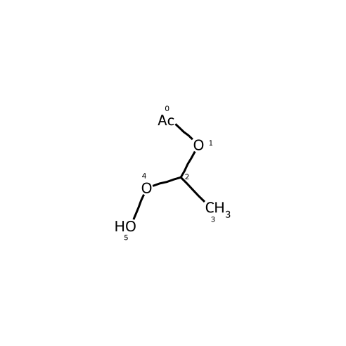 CC(=O)OC(C)OO